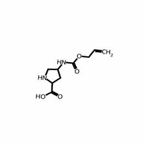 C=CCOC(=O)NC1CNC(C(=O)O)C1